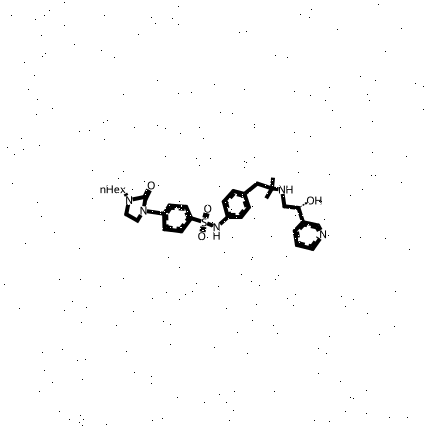 CCCCCCN1CCN(c2ccc(S(=O)(=O)Nc3ccc(CC(C)(C)NC[C@H](O)c4cccnc4)cc3)cc2)C1=O